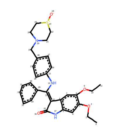 CCOc1cc2c(cc1OCC)C(=C(Nc1ccc(CN3CC[S+]([O-])CC3)cc1)c1ccccc1)C(=O)N2